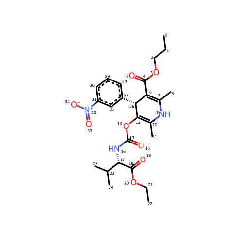 CCCOC(=O)C1=C(C)NC(C)=C(OC(=O)N[C@H](C(=O)OCC)C(C)C)[C@@H]1c1cccc([N+](=O)[O-])c1